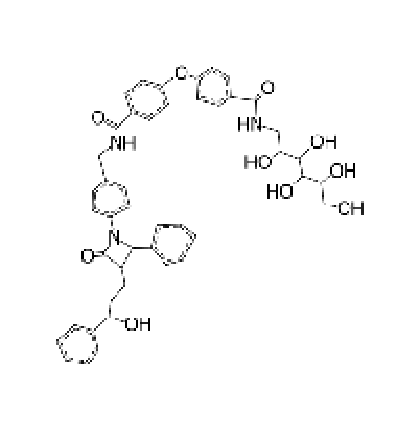 O=C(NCc1ccc(N2C(=O)C(CCC(O)c3ccccc3)C2c2ccccc2)cc1)c1ccc(Oc2ccc(C(=O)NCC(O)C(O)C(O)C(O)CO)cc2)cc1